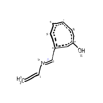 C=C/N=C/c1ccccc1O